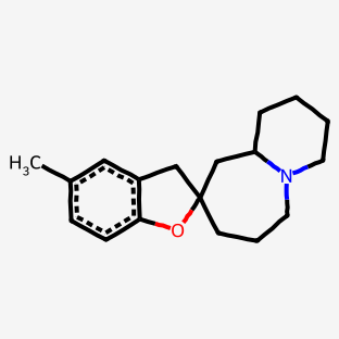 Cc1ccc2c(c1)CC1(CCCN3CCCCC3C1)O2